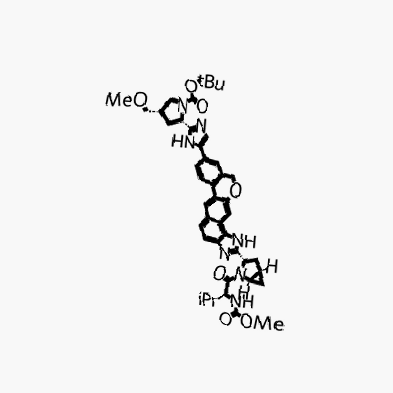 COC[C@H]1C[C@@H](c2ncc(-c3ccc4c(c3)COc3cc5c(ccc6nc([C@@H]7C[C@H]8C[C@H]8N7C(=O)[C@@H](NC(=O)OC)C(C)C)[nH]c65)cc3-4)[nH]2)N(C(=O)OC(C)(C)C)C1